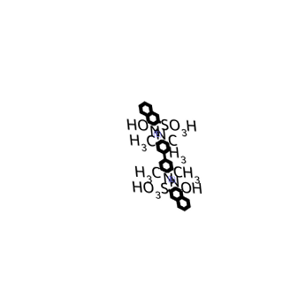 Cc1cc(-c2cc(C)c(/N=N/c3c(S(=O)(=O)O)cc4ccccc4c3O)c(C)c2)cc(C)c1/N=N/c1c(S(=O)(=O)O)cc2ccccc2c1O